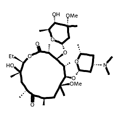 CC[C@H]1OC(=O)[C@H](C)[C@@H](O[C@H]2C[C@@](C)(OC)[C@@H](O)[C@H](C)O2)[C@H](C)[C@@H](O[C@H]2C[C@@H](N(C)C)C[C@@H](C)O2)[C@@](C)(OC)C[C@@H](C)C(=O)[C@H](C)C[C@]1(C)O